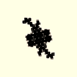 C=C(Cl)C(=O)OCCOC(=O)C(CCCC)N1C(=O)c2cc(Oc3ccccc3C)c3c4c(Oc5ccccc5C)cc5c6c(cc(Oc7ccccc7C)c(c7c(Oc8ccccc8C)cc(c2c37)C1=O)c64)C(=O)N(C(CCCC)C(=O)OCCOC(=O)C(C)Cl)C5=O